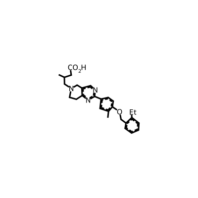 CCc1ccccc1COc1ccc(-c2ncc3c(n2)CCN(CC(C)CC(=O)O)C3)cc1C